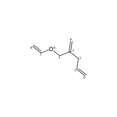 C=CCC(=C)COC=C